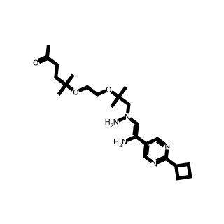 CC(=O)CCC(C)(C)OCCOC(C)(C)CN(N)/C=C(\N)c1cnc(C2CCC2)nc1